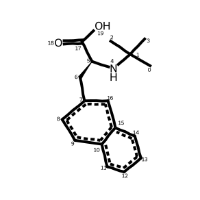 CC(C)(C)N[C@@H](Cc1ccc2ccccc2c1)C(=O)O